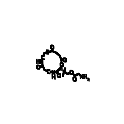 CC(C)(COC(=O)CN)[C@H]1OC(=O)CCC(=O)SCCNC(=O)CCNC1=O